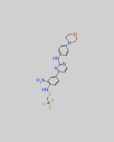 Nc1cc(-c2ccnc(Nc3ccc(N4CCOCC4)cc3)n2)ccc1NSCC(F)(F)F